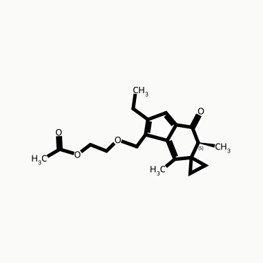 CCC1=C(COCCOC(C)=O)C2=C(C)C3(CC3)[C@H](C)C(=O)C2=C1